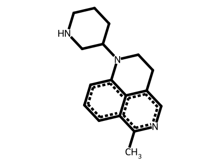 Cc1ncc2c3c(cccc13)N(C1CCCNC1)CC2